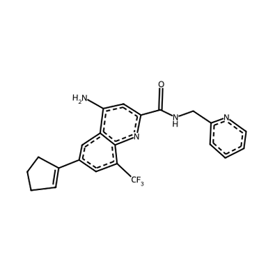 Nc1cc(C(=O)NCc2ccccn2)nc2c(C(F)(F)F)cc(C3=CCCC3)cc12